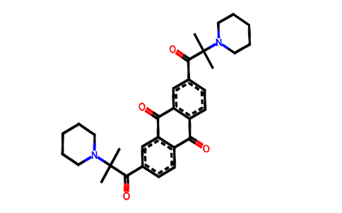 CC(C)(C(=O)c1ccc2c(c1)C(=O)c1cc(C(=O)C(C)(C)N3CCCCC3)ccc1C2=O)N1CCCCC1